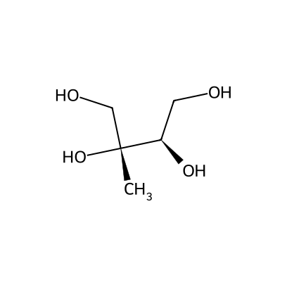 C[C@@](O)(CO)[C@H](O)CO